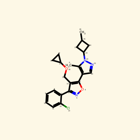 Cc1c(-c2onc(-c3ccccc3Cl)c2COC2CC2)cnn1C1CC(C)C1